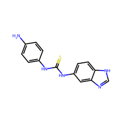 Nc1ccc(NC(=S)Nc2ccc3[nH]cnc3c2)cc1